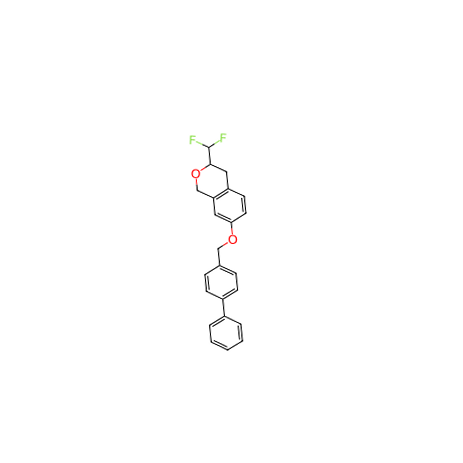 FC(F)C1Cc2ccc(OCc3ccc(-c4ccccc4)cc3)cc2CO1